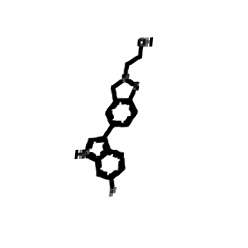 OCCN1Cc2cc(-c3c[nH]c4cc(F)ccc34)ccc2S1